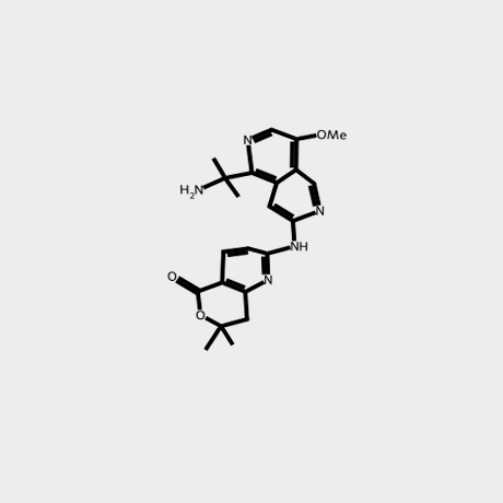 COc1cnc(C(C)(C)N)c2cc(Nc3ccc4c(n3)CC(C)(C)OC4=O)ncc12